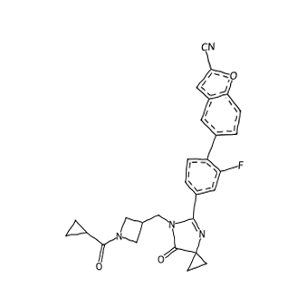 N#Cc1cc2cc(-c3ccc(C4=NC5(CC5)C(=O)N4CC4CN(C(=O)C5CC5)C4)cc3F)ccc2o1